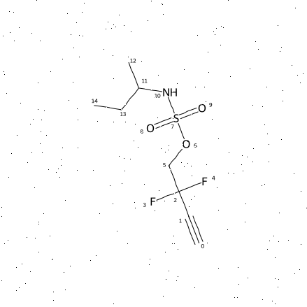 C#CC(F)(F)COS(=O)(=O)NC(C)CC